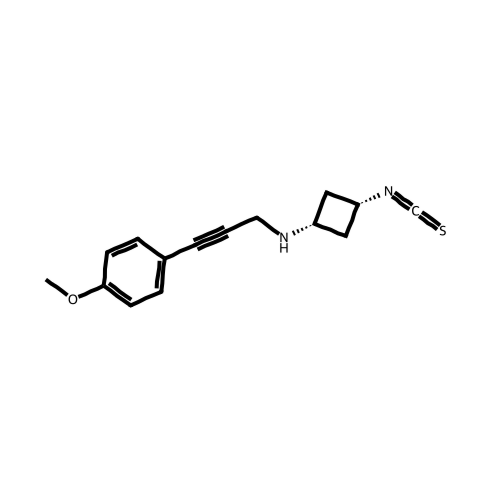 COc1ccc(C#CCN[C@H]2C[C@@H](N=C=S)C2)cc1